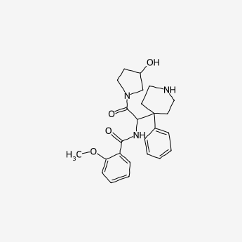 COc1ccccc1C(=O)NC(C(=O)N1CCC(O)C1)C1(c2ccccc2)CCNCC1